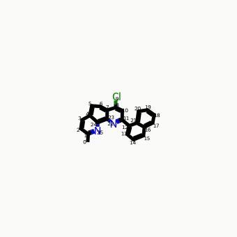 Cc1ccc2ccc3c(Cl)cc(-c4cccc5ccccc45)nc3c2n1